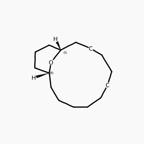 C1CCCCC[C@H]2CCC[C@@H](CCCC1)O2